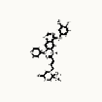 CC1(C)COC(=O)CN1CC=CC(=O)Nc1cc2c(Nc3ccc(F)c(Cl)c3)ncnc2cc1OC1CCOCC1